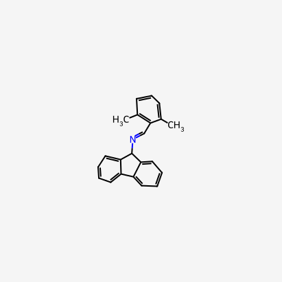 Cc1cccc(C)c1C=NC1c2ccccc2-c2ccccc21